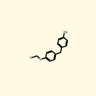 N#Cc1ccc(Cc2ccc(OCCl)cc2)cc1